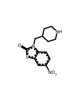 O=c1sc2cc([N+](=O)[O-])ccc2n1CC1CCNCC1